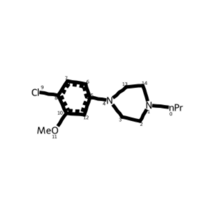 C[CH]CN1CCN(c2ccc(Cl)c(OC)c2)CC1